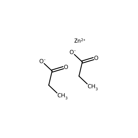 CCC(=O)[O-].CCC(=O)[O-].[Zn+2]